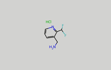 Cl.NCc1cccnc1C(F)F